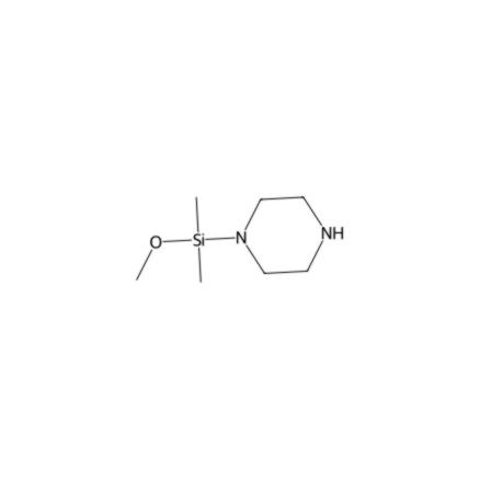 CO[Si](C)(C)N1CCNCC1